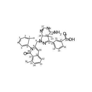 Cc1ccccc1-n1c(CN2N=C(c3cccc(C(=O)O)c3)C3(C)C(N)=NC=NC23)cc2cccc(C)c2c1=O